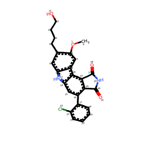 COc1cc2c(cc1CCCCO)[nH]c1cc(-c3ccccc3Cl)c3c(c12)C(=O)NC3=O